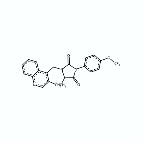 Cc1cnc2ccccc2c1CN1C(=O)N(c2ccc(OC(F)(F)F)cc2)C(=O)C1C